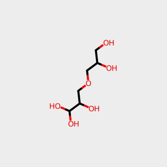 OCC(O)COCC(O)C(O)O